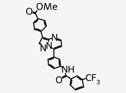 COC(=O)c1ccc(-c2cnn3c(-c4cccc(NC(=O)c5cccc(C(F)(F)F)c5)c4)ccnc23)cc1